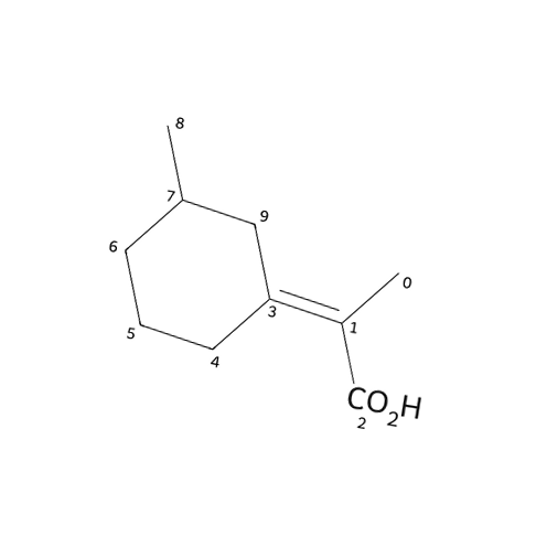 CC(C(=O)O)=C1CCCC(C)C1